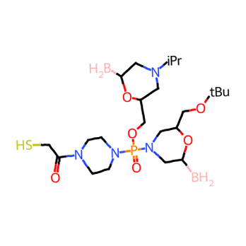 BC1CN(C(C)C)CC(COP(=O)(N2CCN(C(=O)CS)CC2)N2CC(B)OC(COC(C)(C)C)C2)O1